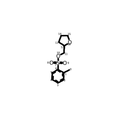 Cc1ccccc1S(=O)(=O)OCC1CCCO1